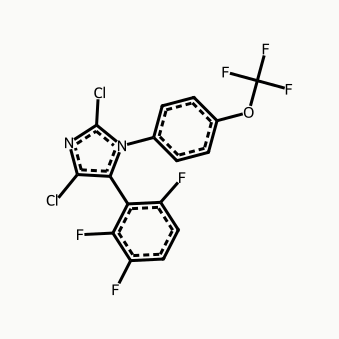 Fc1ccc(F)c(-c2c(Cl)nc(Cl)n2-c2ccc(OC(F)(F)F)cc2)c1F